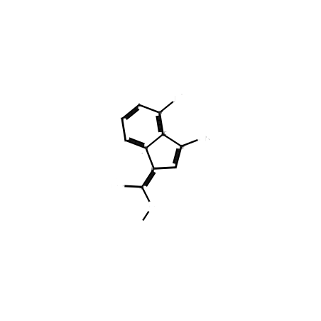 CCO/C(O)=C1\C=C(C#N)c2c(F)cccc21